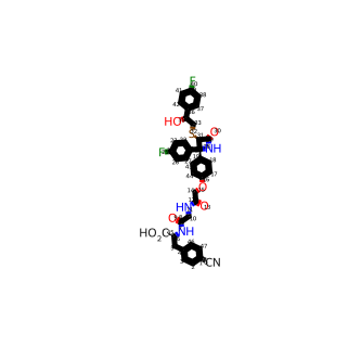 N#Cc1ccc(C[C@@H](NC(=O)CNC(=O)COc2ccc([C@]3(c4ccc(F)cc4)NC(=O)[C@@H]3SCC(O)c3ccc(F)cc3)cc2)C(=O)O)cc1